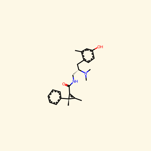 CC1=C(C(=O)NC[C@H](Cc2ccc(O)cc2C)N(C)C)[C@@]1(C)c1ccccc1